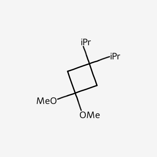 COC1(OC)CC(C(C)C)(C(C)C)C1